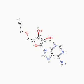 C#CCOCC1O[C@@H](n2cnc3c(N)ncnc32)[C@H](O)[C@@H]1O